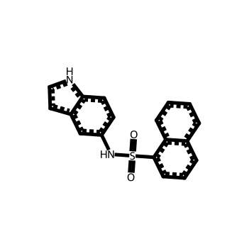 O=S(=O)(Nc1ccc2[nH]ccc2c1)c1cccc2ccccc12